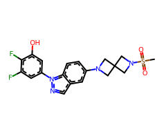 CS(=O)(=O)N1CC2(CN(c3ccc4c(cnn4-c4cc(O)c(F)c(F)c4)c3)C2)C1